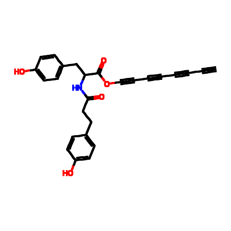 C#CC#CC#CC#COC(=O)C(Cc1ccc(O)cc1)NC(=O)CCc1ccc(O)cc1